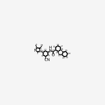 Cc1ncn(-c2cc(C#N)cc(NC(=O)c3cccc4c3Cc3ccccc3-4)c2)c1C